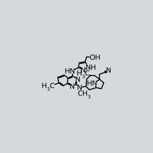 Cc1ccc2c(Nc3cc(CO)[nH]n3)nc(N(C)C3CC(C)CC4(CC#N)CCC(C3)N4)nc2c1